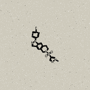 Cn1cc(S(=O)(=O)N2CCc3cc4c(cnn4-c4ccc(F)cc4)cc3C2)cn1